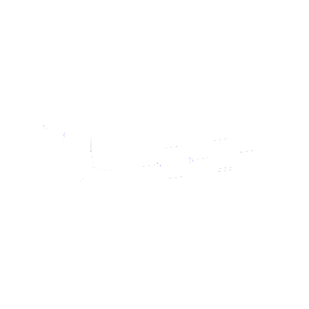 CC(=O)N1CCC2(CC1)C[C@H](CCN1CCN(c3ccc(C)cc3)CC1)OC2=O